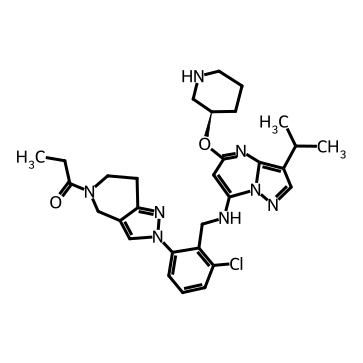 CCC(=O)N1CCc2nn(-c3cccc(Cl)c3CNc3cc(O[C@@H]4CCCNC4)nc4c(C(C)C)cnn34)cc2C1